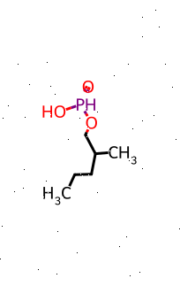 CCCC(C)CO[PH](=O)O